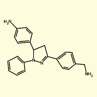 NCc1ccc(C2=NN(c3ccccc3)C(c3ccc(N)cc3)C2)cc1